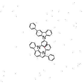 c1ccc(-c2ccc3c(c2)c2ccccc2n3-c2cccc(-n3c4ccccc4c4ccc5cc(-c6ccccc6)n(-c6ccccc6)c5c43)c2)cc1